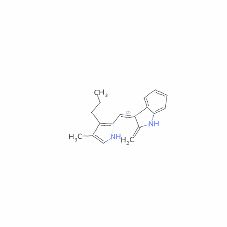 C=c1[nH]c2ccccc2/c1=C/c1[nH]cc(C)c1CCC